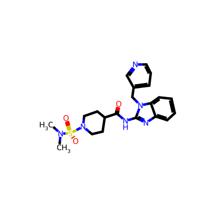 CN(C)S(=O)(=O)N1CCC(C(=O)Nc2nc3ccccc3n2Cc2cccnc2)CC1